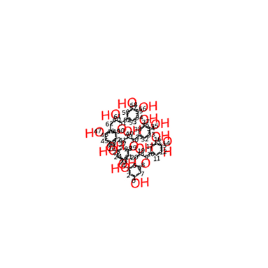 Oc1cc(O)c2c(c1)O[C@H](c1ccc(O)c(O)c1)[C@H](O)[C@H]2c1c(O)cc(O)c2c1OC(c1ccc(O)c(O)c1)[C@H](O)[C@H]2c1c(O)cc(O)c2c1O[C@H](c1ccc(O)c(O)c1)[C@@H](O)C2